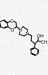 CC(O)C(CCN1CCN(C2COc3ccccc3O2)CC1)c1ccccc1